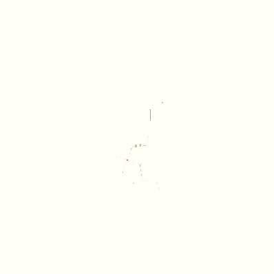 O=C(O)C=CC(CO)(CO)CCO.O=C(O)CCC(=O)O